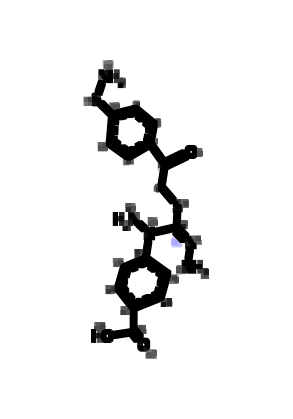 N/N=C(/SCC(=O)c1ccc(SN)cc1)N(N)c1ccc(C(=O)O)cc1